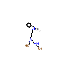 CN(CCCCCN(CCS)CCNCCS)Cc1ccccc1